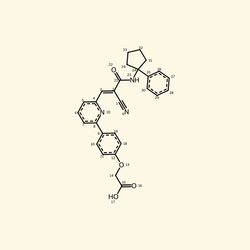 N#C/C(=C\c1cccc(-c2ccc(OCC(=O)O)cc2)n1)C(=O)NC1(c2ccccc2)CCCC1